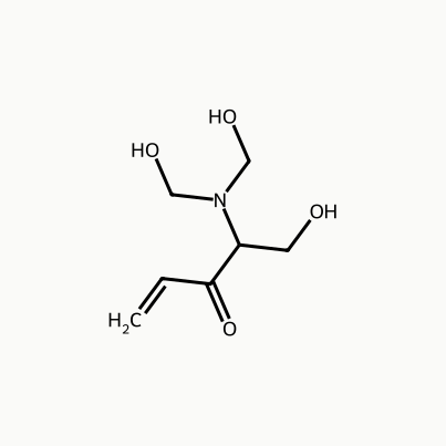 C=CC(=O)C(CO)N(CO)CO